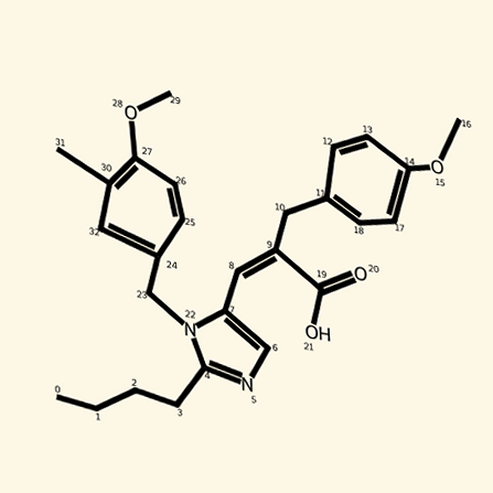 CCCCc1ncc(C=C(Cc2ccc(OC)cc2)C(=O)O)n1Cc1ccc(OC)c(C)c1